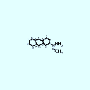 C=C[C@@H](N)c1ccc2cc3ccccc3cc2c1